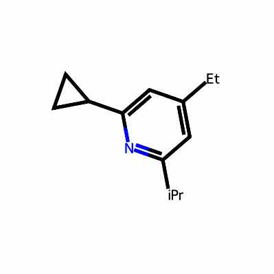 CCc1cc(C(C)C)nc(C2CC2)c1